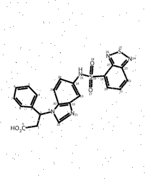 O=C(O)CC(c1ccccc1)n1cnc2cc(NS(=O)(=O)c3cccc4nsnc34)ccc21